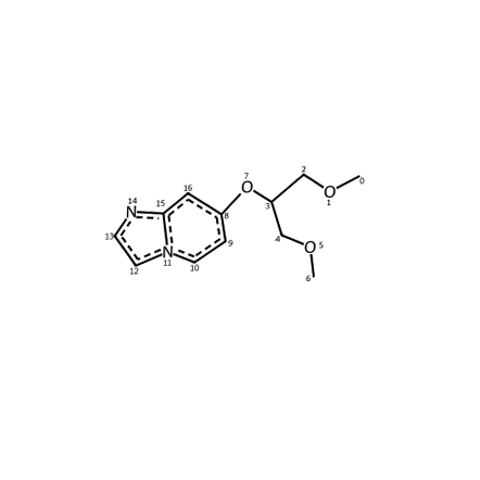 COCC(COC)Oc1ccn2ccnc2c1